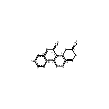 O=C1CC=c2ccc3c(c2C1)C(=O)C=c1ccccc1=3